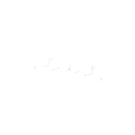 CC(Br)CCOC(=O)OCCC(C)Br